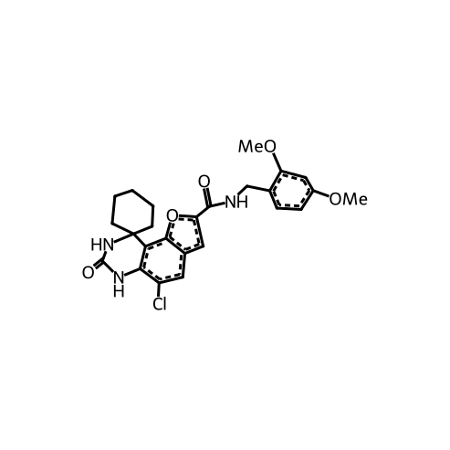 COc1ccc(CNC(=O)c2cc3cc(Cl)c4c(c3o2)C2(CCCCC2)NC(=O)N4)c(OC)c1